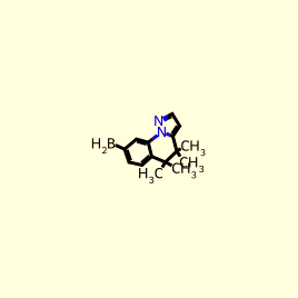 Bc1ccc2c(c1)-n1nccc1C(C)(C)C2(C)C